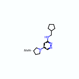 CN[C@H]1CCN(c2cnnc(NCC3CCCC3)c2)C1